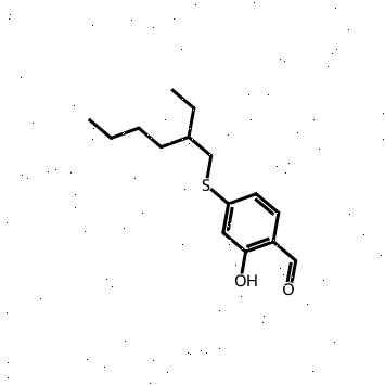 CCCCC(CC)CSc1ccc(C=O)c(O)c1